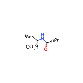 CCCC(=O)NC(SC)C(=O)O